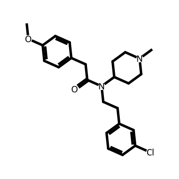 COc1ccc(CC(=O)N(CCc2cccc(Cl)c2)C2CCN(C)CC2)cc1